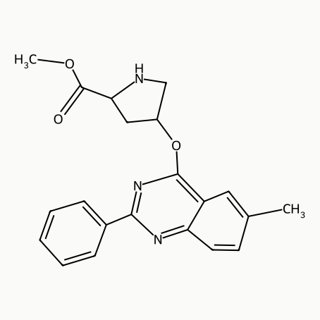 COC(=O)C1CC(Oc2nc(-c3ccccc3)nc3ccc(C)cc23)CN1